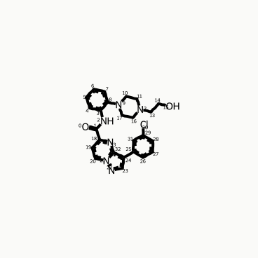 O=C(Nc1ccccc1N1CCN(CCO)CC1)c1ccn2ncc(-c3cccc(Cl)c3)c2n1